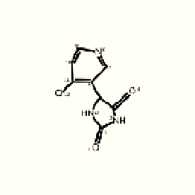 O=C1NC(=O)C(c2cnccc2Cl)N1